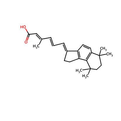 CC(/C=C/C=C1\CCc2c1ccc1c2C(C)(C)CCC1(C)C)=C\C(=O)O